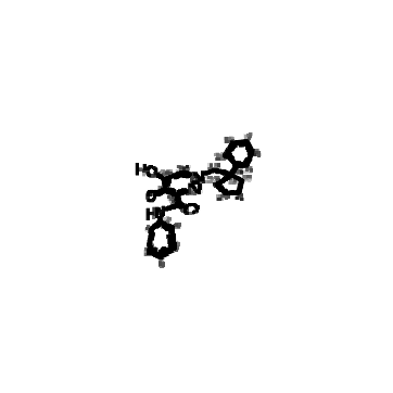 O=C(Nc1ccccc1)c1nn(CC2(c3ccccc3)CCCC2)cc(O)c1=O